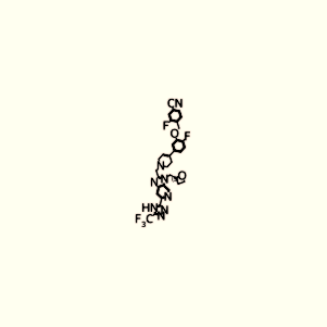 N#Cc1ccc(COc2cc(C3=CCN(Cc4nc5cc(-c6nnc(C(F)(F)F)[nH]6)ncc5n4C[C@@H]4CCO4)CC3)ccc2F)c(F)c1